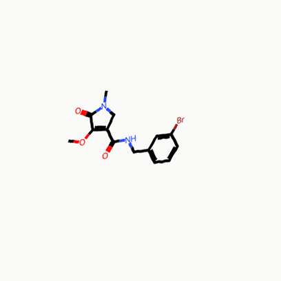 COC1=C(C(=O)NCc2cccc(Br)c2)CN(C)C1=O